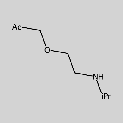 CC(=O)COCCNC(C)C